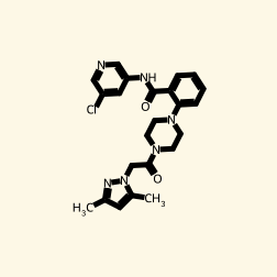 Cc1cc(C)n(CC(=O)N2CCN(c3ccccc3C(=O)Nc3cncc(Cl)c3)CC2)n1